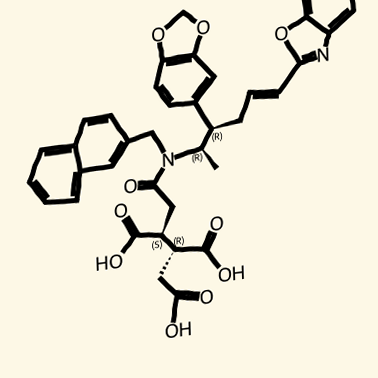 C[C@H]([C@H](CC=Cc1nc2ccccc2o1)c1ccc2c(c1)OCO2)N(Cc1ccc2ccccc2c1)C(=O)C[C@H](C(=O)O)[C@@H](CC(=O)O)C(=O)O